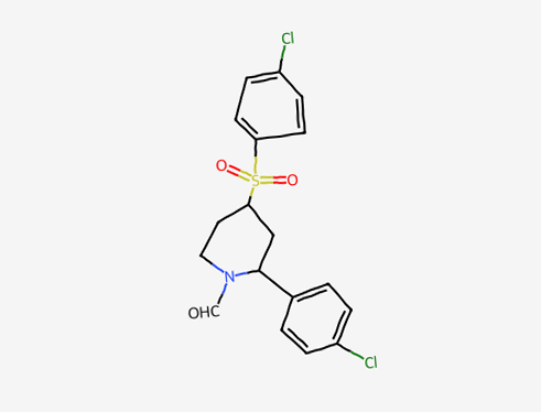 O=CN1CCC(S(=O)(=O)c2ccc(Cl)cc2)CC1c1ccc(Cl)cc1